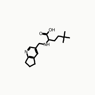 CC(C)(C)CCC(NCc1cnc2c(c1)CCC2)C(=O)O